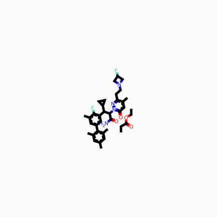 CCOC(=O)CC.Cc1cc(C)c(-c2cc(C)c(F)c(C(C3CC3)C(C(N)=O)n3nc(CCN4CC(F)C4)c(C)cc3=O)c2)c(C)c1